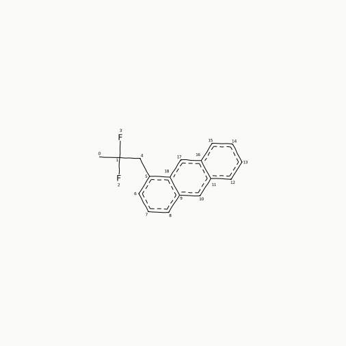 CC(F)(F)Cc1cccc2cc3ccccc3cc12